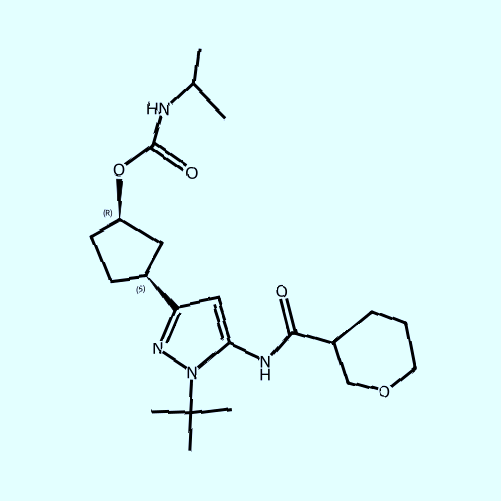 CC(C)NC(=O)O[C@@H]1CC[C@H](c2cc(NC(=O)C3CCCOC3)n(C(C)(C)C)n2)C1